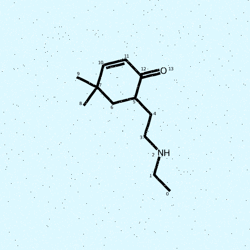 CCNCCC1CC(C)(C)C=CC1=O